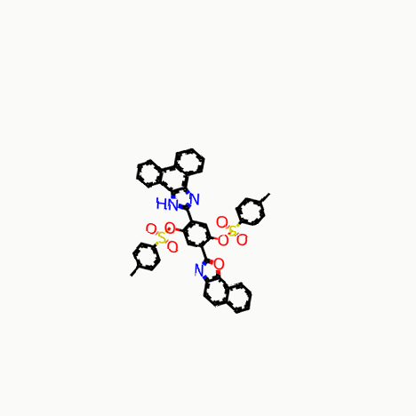 Cc1ccc(S(=O)(=O)Oc2cc(-c3nc4ccc5ccccc5c4o3)c(OS(=O)(=O)c3ccc(C)cc3)cc2-c2nc3c4ccccc4c4ccccc4c3[nH]2)cc1